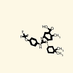 Cc1cc2c(cc1C(=O)O)nc(Nc1ccc(OC(F)(F)F)cc1)n2[C@H]1CCCC(C)(C)C1